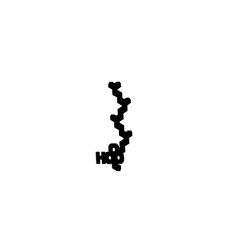 CCC(O)OC(=O)CCCC(C)CCCC(C)CCCC(C)CCCC(C)C